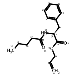 C=CCOC(=O)[C@H](Cc1ccccc1)NC(=O)CCCC